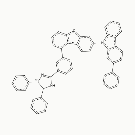 c1ccc(-c2ccc3c4ccccc4n(-c4ccc5c(c4)oc4cccc(-c6cccc(C7=N[C@@H](c8ccccc8)C(c8ccccc8)N7)c6)c45)c3c2)cc1